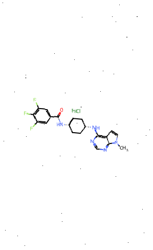 Cl.Cn1ccc2c(N[C@H]3CC[C@@H](NC(=O)c4cc(F)c(F)c(F)c4)CC3)ncnc21